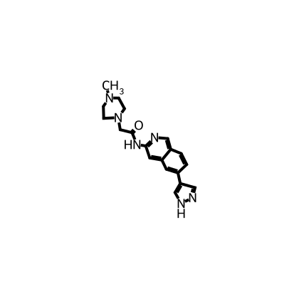 CN1CCN(CC(=O)Nc2cc3cc(-c4cn[nH]c4)ccc3cn2)CC1